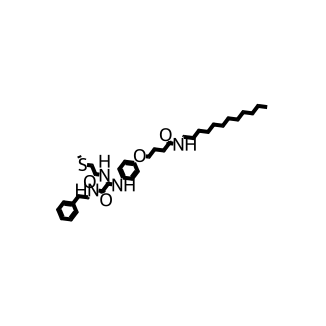 CCCCCCCCCCCCNC(=O)CCCOc1ccc(NC(NC(=O)CSC)C(=O)NCCc2ccccc2)cc1